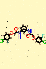 O=C(COc1ccc(Cl)c(F)c1)NC12CCCC(NC(=O)COc3ccc(Cl)c(F)c3)(C1)C2